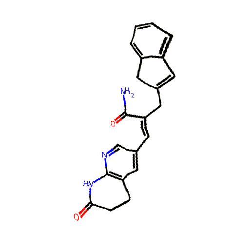 NC(=O)/C(=C\c1cnc2c(c1)CCC(=O)N2)CC1=Cc2ccccc2C1